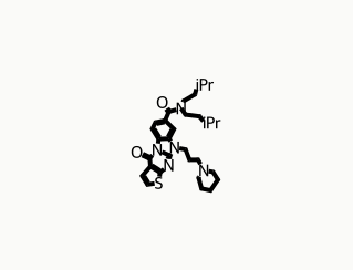 CC(C)CCN(CCC(C)C)C(=O)c1ccc2c(c1)n(CCCN1CCCCC1)c1nc3sccc3c(=O)n21